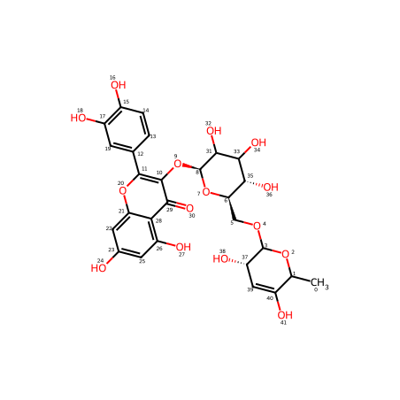 CC1OC(OC[C@H]2O[C@@H](Oc3c(-c4ccc(O)c(O)c4)oc4cc(O)cc(O)c4c3=O)C(O)C(O)[C@@H]2O)[C@@H](O)C=C1O